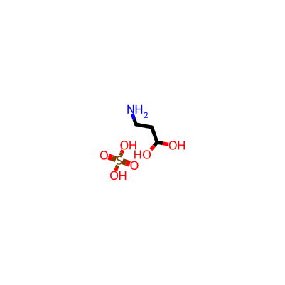 NCCC(O)O.O=S(=O)(O)O